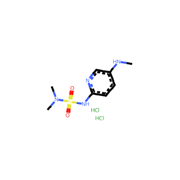 CNc1ccc(NS(=O)(=O)N(C)C)nc1.Cl.Cl